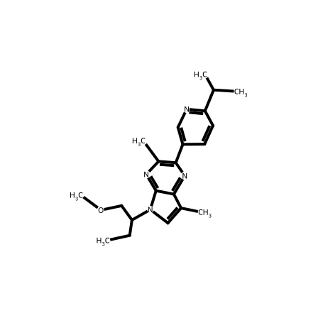 CCC(COC)n1cc(C)c2nc(-c3ccc(C(C)C)nc3)c(C)nc21